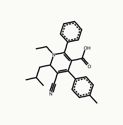 CCN1C(c2ccccc2)=C(C(=O)O)C(c2ccc(C)cc2)=C(C#N)C1CC(C)C